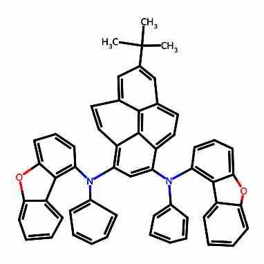 CC(C)(C)c1cc2ccc3c(N(c4ccccc4)c4cccc5oc6ccccc6c45)cc(N(c4ccccc4)c4cccc5oc6ccccc6c45)c4ccc(c1)c2c34